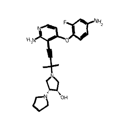 CC(C)(C#Cc1c(Oc2ccc(N)cc2F)ccnc1N)N1C[C@@H](O)[C@H](N2CCCC2)C1